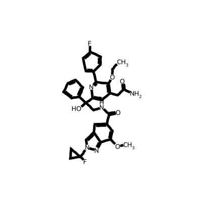 CCOc1c(CC(N)=O)cc(C(O)(CNC(=O)c2cc(OC)c3nn(C4(F)CC4)cc3c2)c2ccccc2)nc1-c1ccc(F)cc1